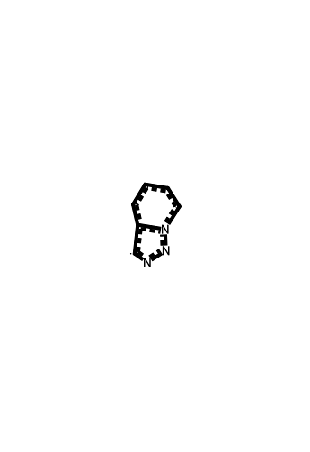 [c]1nnn2ccccc12